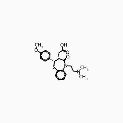 COc1ccc([C@H]2Sc3ccccc3N(CCN(C)C)C(=O)[C@H]2CC(=O)O)cc1